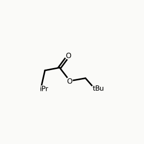 CC(C)CC(=O)OCC(C)(C)C